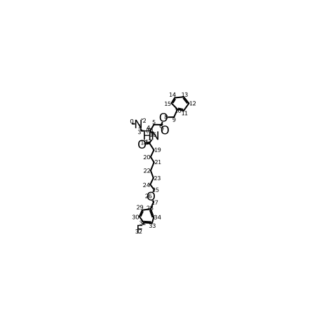 CN(C)C[C@@H](CC(=O)OCc1ccccc1)NC(=O)CCCCCCCOCc1ccc(F)cc1